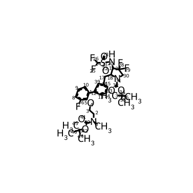 CN(CCOc1c(F)cccc1-c1cccc(CC2C(NS(=O)(=O)C(F)F)C(F)(F)CN2C(=O)OC(C)(C)C)c1)C(=O)OC(C)(C)C